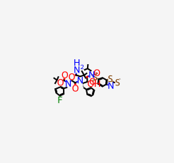 CSc1nc2ccc(S(=O)(=O)N(CC(C)C)C[C@@H](O)[C@H](Cc3ccccc3)N(C(=O)CN(Cc3cccc(F)c3)C(=O)OC(C)(C)C)[C@H](C(N)=O)C(C)(C)C)cc2s1